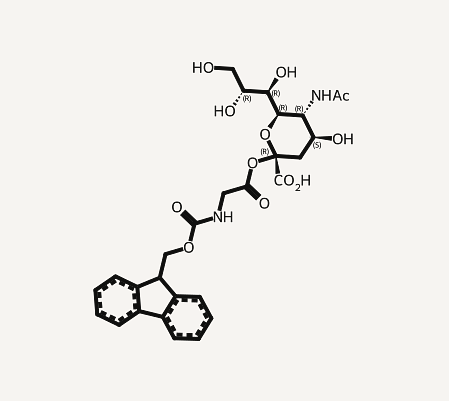 CC(=O)N[C@H]1[C@H]([C@H](O)[C@H](O)CO)O[C@](OC(=O)CNC(=O)OCC2c3ccccc3-c3ccccc32)(C(=O)O)C[C@@H]1O